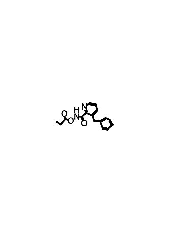 CCC(=O)ONC(=O)c1ncccc1Cc1ccccc1